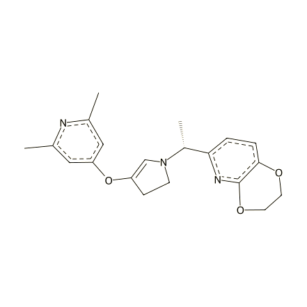 Cc1cc(OC2=CN([C@H](C)c3ccc4c(n3)OCCO4)CC2)cc(C)n1